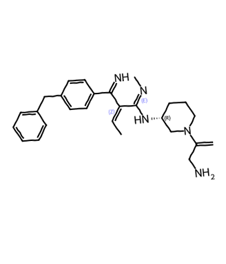 C=C(CN)N1CCC[C@@H](NC(=N/C)/C(=C\C)C(=N)c2ccc(Cc3ccccc3)cc2)C1